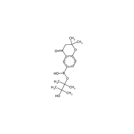 CC1(C)CC(=O)c2cc(B(O)OC(C)(C)C(C)(C)O)ccc2O1